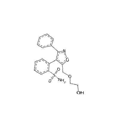 NS(=O)(=O)c1ccccc1-c1c(-c2ccccc2)noc1COCCO